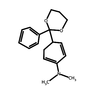 CN(C)C1=CCC(C2(c3ccccc3)OCCCO2)C=C1